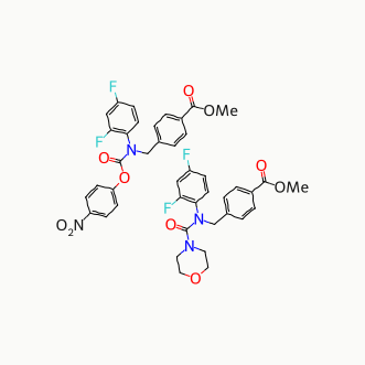 COC(=O)c1ccc(CN(C(=O)N2CCOCC2)c2ccc(F)cc2F)cc1.COC(=O)c1ccc(CN(C(=O)Oc2ccc([N+](=O)[O-])cc2)c2ccc(F)cc2F)cc1